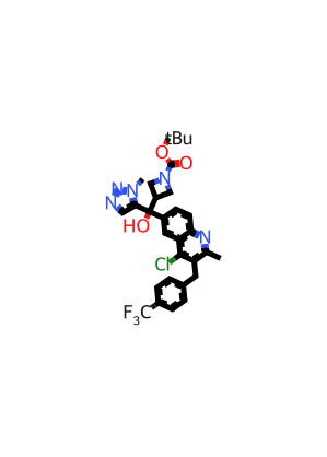 Cc1nc2ccc(C(O)(c3cnnn3C)C3CN(C(=O)OC(C)(C)C)C3)cc2c(Cl)c1Cc1ccc(C(F)(F)F)cc1